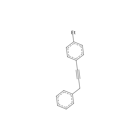 CCc1ccc(C#CCc2ccccc2)cc1